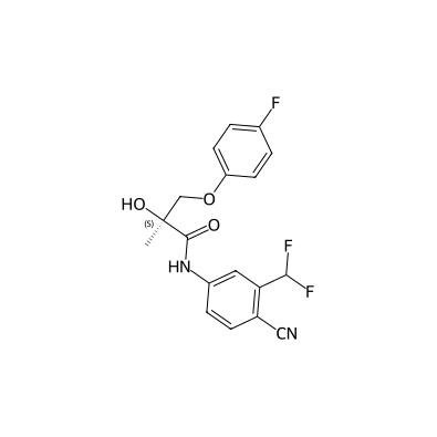 C[C@](O)(COc1ccc(F)cc1)C(=O)Nc1ccc(C#N)c(C(F)F)c1